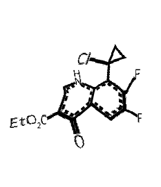 CCOC(=O)c1c[nH]c2c(C3(Cl)CC3)c(F)c(F)cc2c1=O